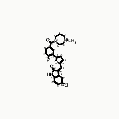 CN1CCCN(C(=O)c2ccc(F)c(-c3ccc(C=C4C(=O)Nc5ccc(Cl)cc54)o3)c2)CC1